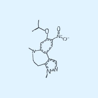 CC(C)Oc1cc2c(cc1[N+](=O)[O-])-c1cnn(C)c1CCN2C